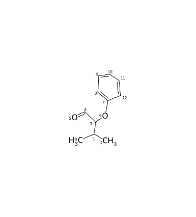 CC(C)C([C]=O)Oc1ccccc1